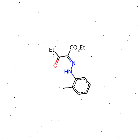 CCOC(=O)C(=NNc1ccccc1C)C(=O)CC